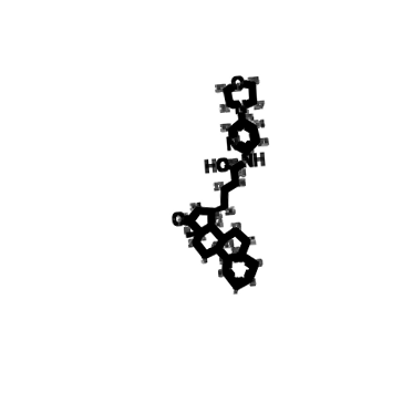 C[C@]12CCC3c4ccccc4CCC3C1[C@H](CCC[C@H](O)Nc1ccc(N3CCOCC3)cn1)CC2=O